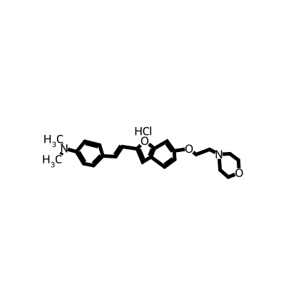 CN(C)c1ccc(/C=C/c2cc3ccc(OCCN4CCOCC4)cc3o2)cc1.Cl